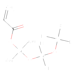 C=CC(=O)O[Si](O[Si](C)(C)O[Si](CC)(CC)CC)(C(C)CC)C(C)CC